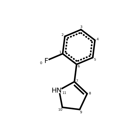 Fc1ccccc1C1=CCCN1